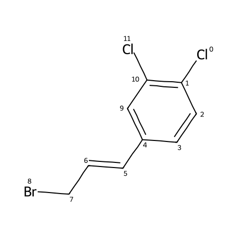 Clc1ccc(/C=C/CBr)cc1Cl